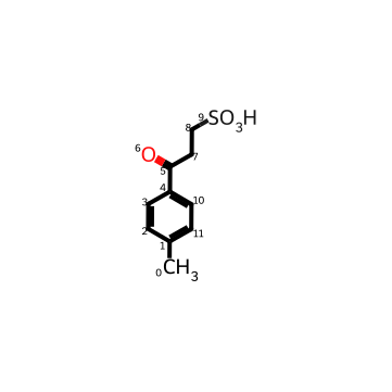 Cc1ccc(C(=O)CCS(=O)(=O)O)cc1